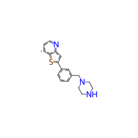 [c]1ccnc2cc(-c3cccc(CN4CCNCC4)c3)sc12